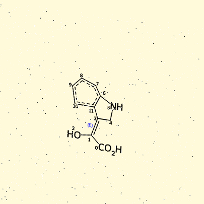 O=C(O)/C(O)=C1\CNc2ccccc21